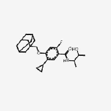 CC(O)C(C)NC(=O)c1cc(C2CC2)c(OCC23CC4CC(CC(C4)C2)C3)cc1F